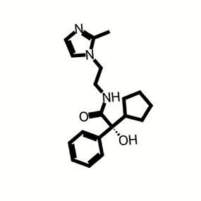 Cc1nccn1CCNC(=O)[C@](O)(c1ccccc1)C1CCCC1